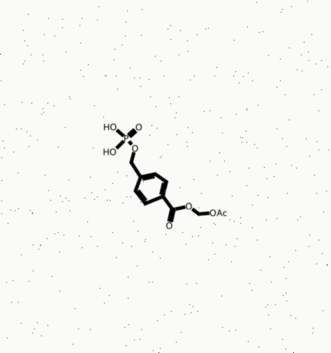 CC(=O)OCOC(=O)c1ccc(COP(=O)(O)O)cc1